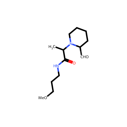 COCCCNC(=O)C(C)N1CCCCC1C=O